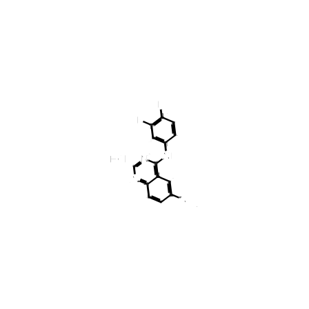 Cl.Nc1ccc2ncnc(Nc3ccc(F)c(F)c3)c2c1